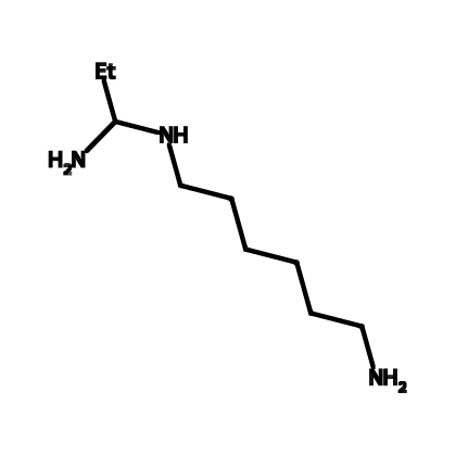 CCC(N)NCCCCCCN